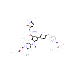 CCN(c1cc(-c2ccc(CN3CCN(C(=O)OC(C)(C)C)CC3)nc2)cc(C(=O)NCc2c(C)cc(C)[nH]c2=O)c1C)C1CC(C)N(C(=O)OC(C)(C)C)C(C)C1